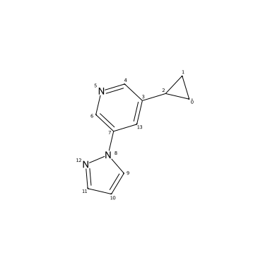 [CH]1CC1c1cncc(-n2cccn2)c1